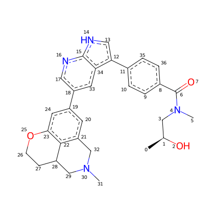 C[C@H](O)CN(C)C(=O)c1ccc(-c2c[nH]c3ncc(-c4cc5c6c(c4)OCCC6CN(C)C5)cc23)cc1